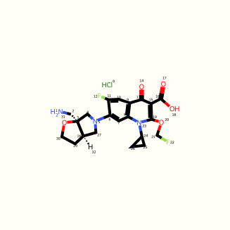 Cl.NC[C@]12CN(c3cc4c(cc3F)c(=O)c(C(=O)O)c(OCF)n4C3CC3)C[C@H]1CCO2